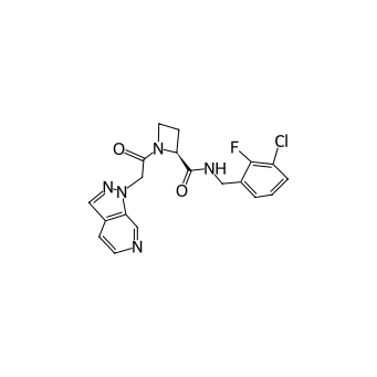 O=C(NCc1cccc(Cl)c1F)[C@@H]1CCN1C(=O)Cn1ncc2ccncc21